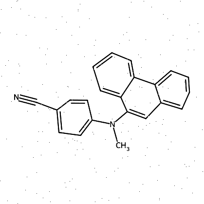 CN(c1ccc(C#N)cc1)c1cc2ccccc2c2ccccc12